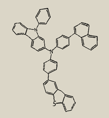 c1ccc(-n2c3ccccc3c3ccc(N(c4ccc(-c5ccc6sc7ccccc7c6c5)cc4)c4ccc(-c5cccc6ccccc56)cc4)cc32)cc1